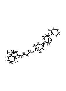 C1=CCCC(C2=COC(N3CCN(CCCCCc4c[nH]c5ccccc45)CC3)=CO2)=C1